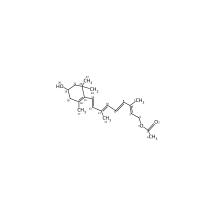 CC(=O)OCC=C(C)C=CC=C(C)C=CC1=C(C)CC(O)CC1(C)C